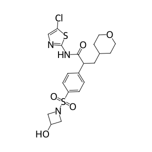 O=C(Nc1ncc(Cl)s1)C(CC1CCOCC1)c1ccc(S(=O)(=O)N2CC(O)C2)cc1